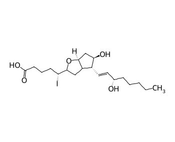 CCCCC[C@H](O)/C=C/[C@@H]1C2CC([C@H](I)CCCC(=O)O)O[C@H]2C[C@H]1O